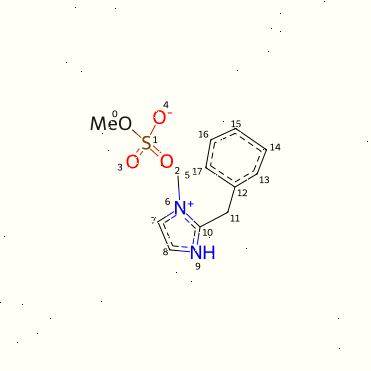 COS(=O)(=O)[O-].C[n+]1cc[nH]c1Cc1ccccc1